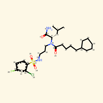 CC(C)C[C@@H](C(N)=O)N(CCCNS(=O)(=O)c1ccc(F)cc1Cl)C(=O)CCCCC1CCCCC1